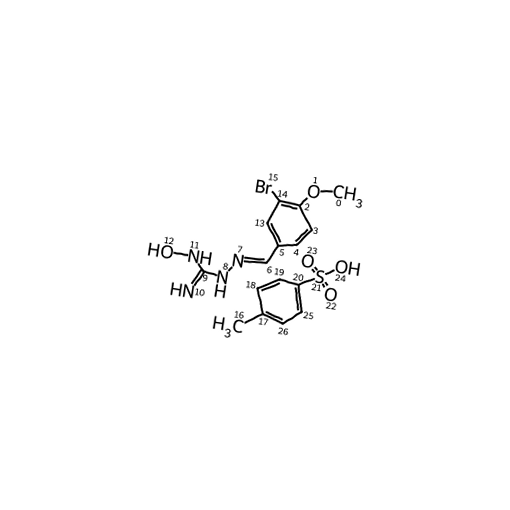 COc1ccc(C=NNC(=N)NO)cc1Br.Cc1ccc(S(=O)(=O)O)cc1